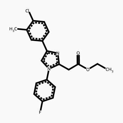 CCOC(=O)Cc1nc(-c2ccc(Cl)c(C)c2)cn1-c1ccc(F)cc1